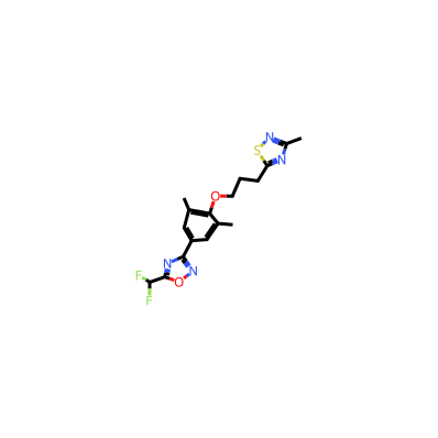 Cc1nsc(CCCOc2c(C)cc(-c3noc(C(F)F)n3)cc2C)n1